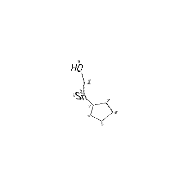 O[CH2][Sn][CH]1CCCC1